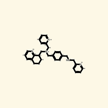 c1ccc(CNCc2ccc(CN(Cc3ccccn3)CC3CCCc4cccnc43)cc2)nc1